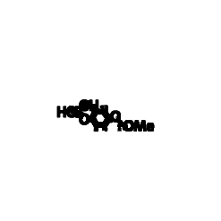 COCOc1ccc(OB(O)O)cc1